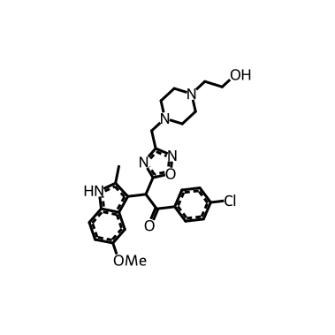 COc1ccc2[nH]c(C)c(C(C(=O)c3ccc(Cl)cc3)c3nc(CN4CCN(CCO)CC4)no3)c2c1